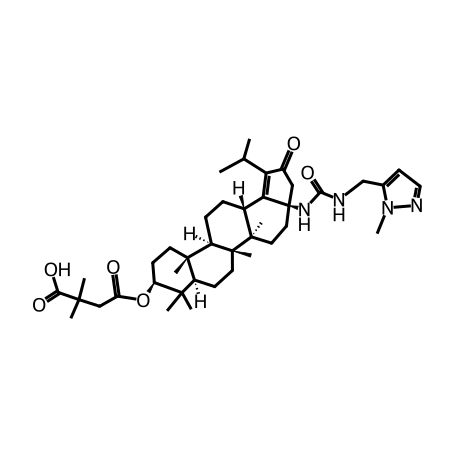 CC(C)C1=C2[C@H]3CC[C@@H]4[C@@]5(C)CC[C@H](OC(=O)CC(C)(C)C(=O)O)C(C)(C)[C@@H]5CC[C@@]4(C)[C@]3(C)CC[C@@]2(NC(=O)NCc2ccnn2C)CC1=O